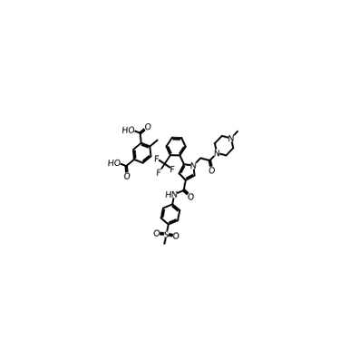 CN1CCN(C(=O)Cn2cc(C(=O)Nc3ccc(S(C)(=O)=O)cc3)cc2-c2ccccc2C(F)(F)F)CC1.Cc1ccc(C(=O)O)cc1C(=O)O